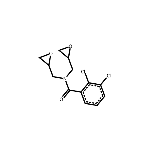 O=C(c1cccc(Cl)c1Cl)N(CC1CO1)CC1CO1